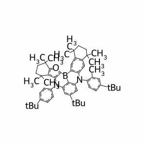 Cc1cc(C(C)(C)C)ccc1N1c2cc3c(cc2B2c4oc5c(c4N(c4ccc(C(C)(C)C)cc4)c4cc(C(C)(C)C)cc1c42)C(C)(C)CCC5(C)C)C(C)(C)CCC3(C)C